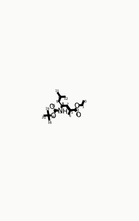 CCOC(=O)C(C)=C[C@H](CC(C)C)NC(=O)OC(C)(C)C